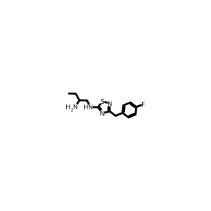 CCC(N)CNc1nc(Cc2ccc(F)cc2)ns1